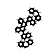 C1=Cc2ccccc2N(c2ccc(-c3cc4cc(-c5ccc(N6c7ccccc7C=Cc7ccccc76)c6ccccc56)c5ccccc5c4c4ccccc34)c3ccccc23)c2ccccc21